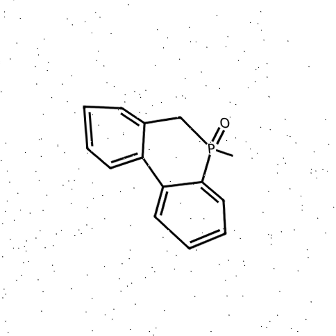 CP1(=O)Cc2ccccc2-c2ccccc21